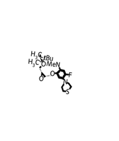 CNc1cc(F)c(N2CCSCC2)cc1OC[C@@H]1O[C@@H]1CO[Si](C)(C)C(C)(C)C